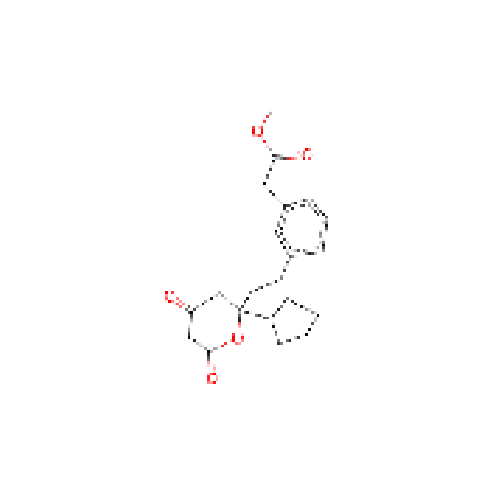 COC(=O)Cc1cccc(CCC2(C3CCCC3)CC(=O)CC(=O)O2)c1